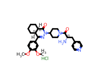 COc1ccc(C2=NN(C3CCN(C(=O)[C@@H](N)Cc4ccncc4)CC3)C(=O)[C@@H]3CCCC[C@H]23)cc1OC.Cl